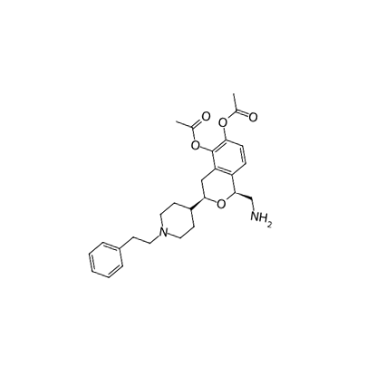 CC(=O)Oc1ccc2c(c1OC(C)=O)C[C@H](C1CCN(CCc3ccccc3)CC1)O[C@@H]2CN